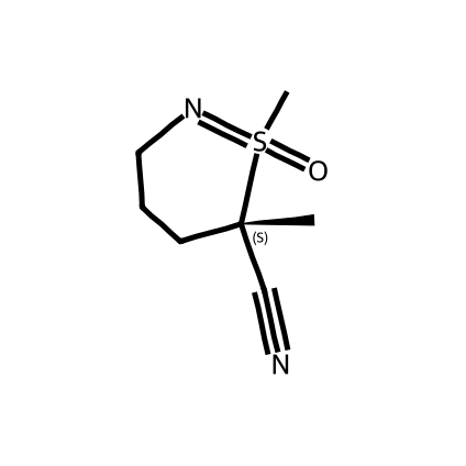 C[C@@]1(C#N)CCCN=S1(C)=O